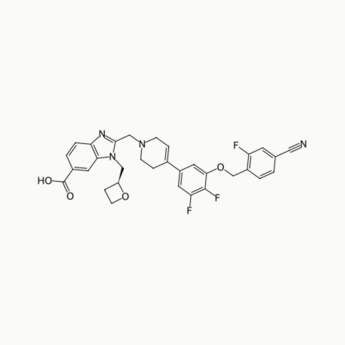 N#Cc1ccc(COc2cc(C3=CCN(Cc4nc5ccc(C(=O)O)cc5n4C[C@@H]4CCO4)CC3)cc(F)c2F)c(F)c1